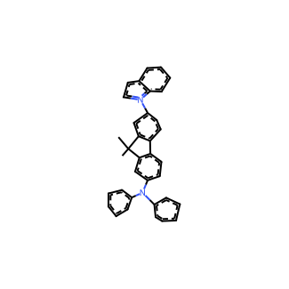 CC1(C)c2cc(N(c3ccccc3)c3ccccc3)ccc2-c2ccc(-n3ccc4ccccc43)cc21